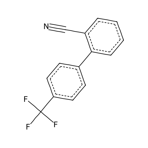 N#Cc1ccccc1-c1ccc(C(F)(F)F)cc1